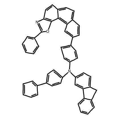 c1ccc(-c2ccc(N(c3ccc(-c4ccc5ccc6ccc7nc(-c8ccccc8)oc7c6c5c4)cc3)c3ccc4c(c3)-c3ccccc3C4)cc2)cc1